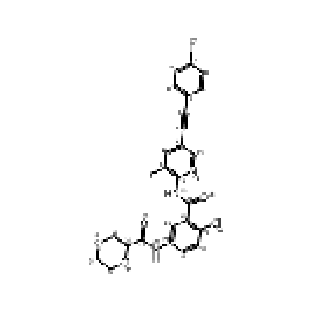 Cc1cc(C#Cc2ccc(F)cc2)cnc1NC(=O)c1cc(NC(=O)C2COCCO2)ccc1Cl